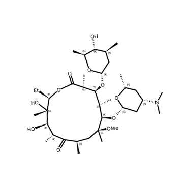 CC[C@H]1OC(=O)[C@H](C)[C@@H](O[C@H]2C[C@H](C)[C@@H](O)[C@H](C)O2)[C@H](C)[C@@H](O[C@H]2C[C@@H](N(C)C)C[C@@H](C)O2)[C@@](C)(OC)C[C@@H](C)C(=O)[C@H](C)[C@@H](O)[C@]1(C)O